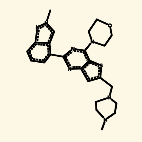 CN1CCN(Cc2cc3nc(-c4cccc5nn(C)cc45)nc(N4CCOCC4)c3s2)CC1